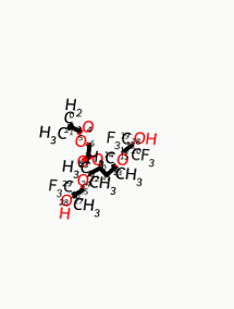 C=C(C)C(=O)OCC(=O)OC(CC(C)(C)OCC(O)(C(F)(F)F)C(F)(F)F)C(C)(C)OCC(C)(O)C(F)(F)F